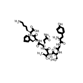 CC(C)[C@H](NC(=O)[C@H](CO)NC(=O)CNC(=O)[C@@H](N)Cc1ccc(O)cc1)C(=O)N[C@@H](CCC(N)=O)C(=O)N[C@@H](Cc1ccccc1)C(=O)N[C@@H](CCCCN)C(=O)O